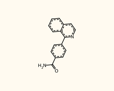 NC(=O)c1ccc(-c2nccc3ccccc23)cc1